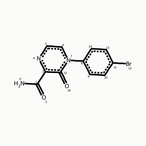 NC(=O)c1nccn(-c2ccc(Br)cc2)c1=O